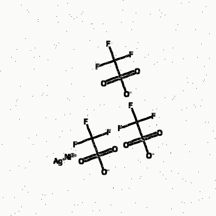 O=S(=O)([O-])C(F)(F)F.O=S(=O)([O-])C(F)(F)F.O=S(=O)([O-])C(F)(F)F.[Ag+].[Ni+2]